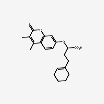 Cc1c(C)c2ccc(OC(CCC3=CCCCC3)C(=O)O)cc2oc1=O